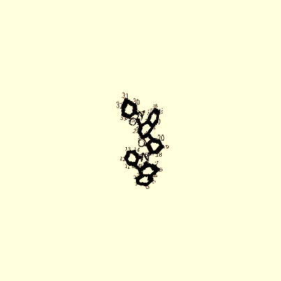 c1ccc2c(c1)ccc1c2c2ccccc2n1-c1cccc2c1oc1cc(-c3nc4ccccc4o3)c3ccccc3c12